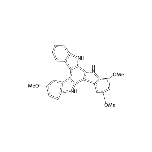 COc1cc(OC)c2[nH]c3c4[nH]c5ccccc5c4c4c5cc(OC)ccc5[nH]c4c3c2c1